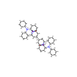 c1ccc(N(c2ccccc2)c2ccccc2-c2cc(-c3ccnc(-c4ccccc4N(c4ccccc4)c4ccccc4)c3)ccn2)cc1